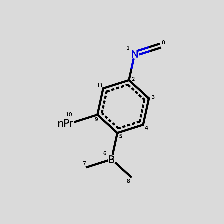 C=Nc1ccc(B(C)C)c(CCC)c1